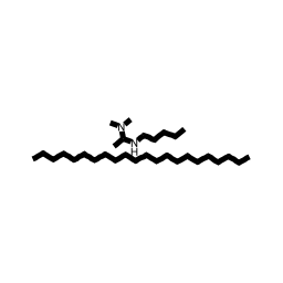 CCCCCCCCCCCCCCCCCCCCCC.CCCCCNC(C)N(C)C